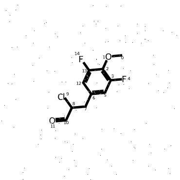 COc1c(F)cc(CC(Cl)C=O)cc1F